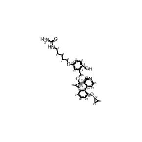 NC(=O)NCCCCCOc1ccc(O)c(COC2(c3cnccc3-c3ccccc3OC3CC3)CC2)c1